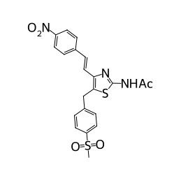 CC(=O)Nc1nc(C=Cc2ccc([N+](=O)[O-])cc2)c(Cc2ccc(S(C)(=O)=O)cc2)s1